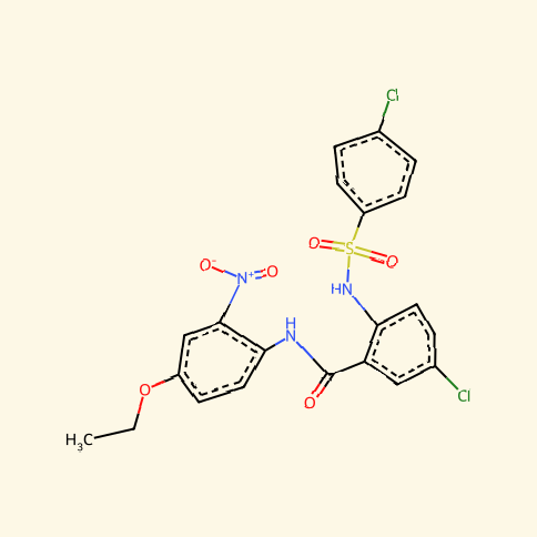 CCOc1ccc(NC(=O)c2cc(Cl)ccc2NS(=O)(=O)c2ccc(Cl)cc2)c([N+](=O)[O-])c1